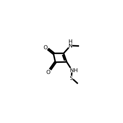 CNc1c(NSC)c(=O)c1=O